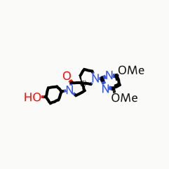 COc1cc(OC)nc(N2CCC[C@]3(CCN(C4CCC(O)CC4)C3=O)C2)n1